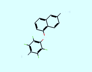 O=S(=O)(O)c1ccc2c(Oc3c(F)c(F)c(C(F)(F)F)c(F)c3F)cccc2c1